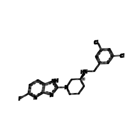 Fc1ccc2[nH]c(N3CCC[C@H](NCc4cc(Cl)cc(Cl)c4)C3)nc2n1